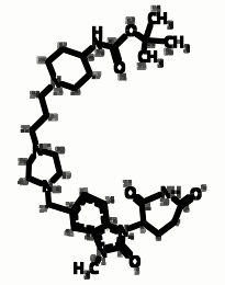 Cn1c(=O)n(C2CCC(=O)NC2=O)c2ccc(CN3CCN(CCCN4CCC(NC(=O)OC(C)(C)C)CC4)CC3)cc21